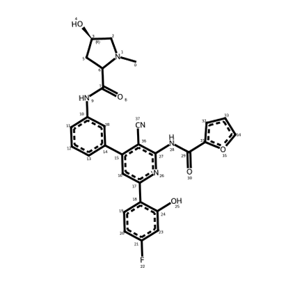 CN1C[C@H](O)CC1C(=O)Nc1cccc(-c2cc(-c3ccc(F)cc3O)nc(NC(=O)c3ccco3)c2C#N)c1